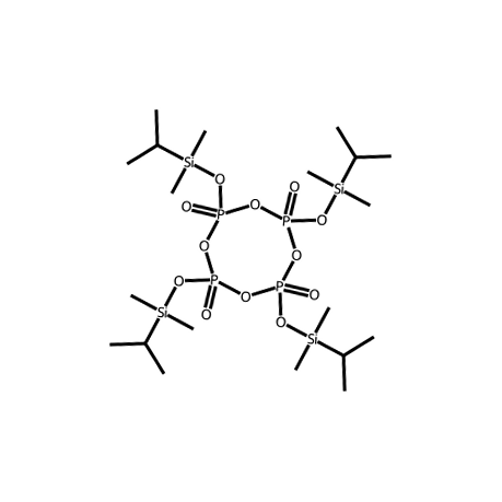 CC(C)[Si](C)(C)OP1(=O)OP(=O)(O[Si](C)(C)C(C)C)OP(=O)(O[Si](C)(C)C(C)C)OP(=O)(O[Si](C)(C)C(C)C)O1